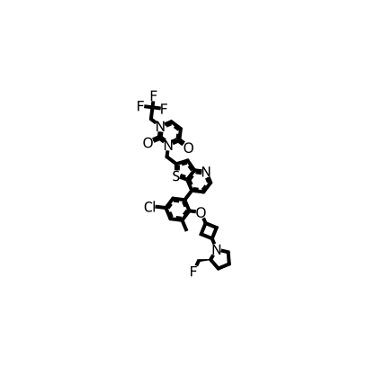 Cc1cc(Cl)cc(-c2ccnc3cc(Cn4c(=O)ccn(CC(F)(F)F)c4=O)sc23)c1OC1CC(N2CCC[C@H]2CF)C1